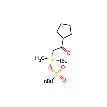 CCCCS(=O)(=O)OS(C)(CC(=O)C1CCCC1)C(C)(C)C